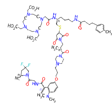 C=Nc1ccc(OCCCN2CCN(C(=O)[C@H](C)CN3C(=O)CC(SC[C@H](CCCCNC(=O)CCCc4ccc(C)cc4)NC(=O)CN4CCN(CC(=O)O)CCN(CC(=O)O)CCN(CC(=O)O)CC4)C3=O)CC2)cc1/C(=C\C)C(=O)NCC(=O)N1CC(F)(F)C[C@@H]1C#N